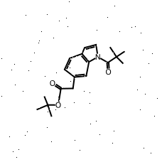 CC(C)(C)OC(=O)Cc1ccc2ccn(C(=O)C(C)(C)C)c2c1